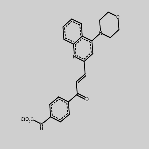 CCOC(=O)Nc1ccc(C(=O)C=Cc2cc(N3CCOCC3)c3ccccc3n2)cc1